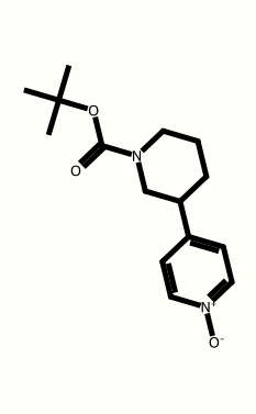 CC(C)(C)OC(=O)N1CCCC(c2cc[n+]([O-])cc2)C1